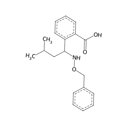 CC(C)CC(NOCc1ccccc1)c1ccccc1C(=O)O